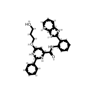 O=C(Nc1ccccc1-c1nc2cccnc2s1)c1cc(OCCCO)nc(-c2ccccc2)n1